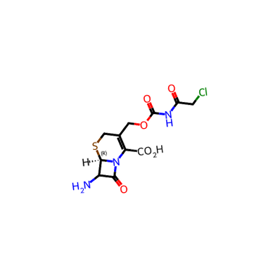 NC1C(=O)N2C(C(=O)O)=C(COC(=O)NC(=O)CCl)CS[C@H]12